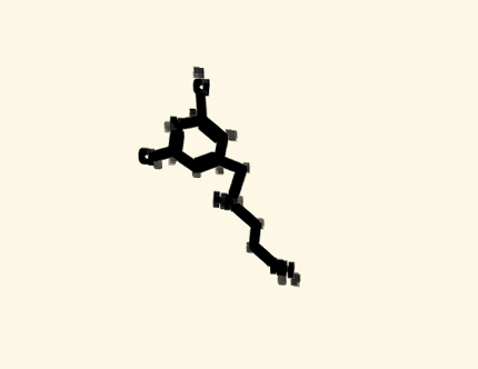 NCCNCc1cc(Cl)nc(Cl)c1